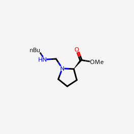 CCCCNCN1CCC[C@@H]1C(=O)OC